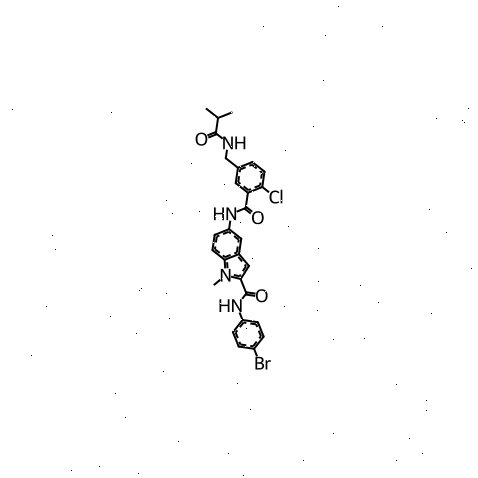 CC(C)C(=O)NCc1ccc(Cl)c(C(=O)Nc2ccc3c(c2)cc(C(=O)Nc2ccc(Br)cc2)n3C)c1